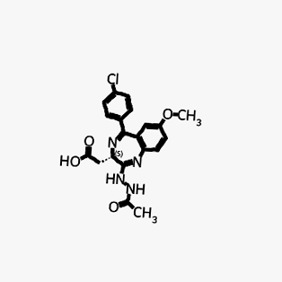 COc1ccc2c(c1)C(c1ccc(Cl)cc1)=N[C@@H](CC(=O)O)C(NNC(C)=O)=N2